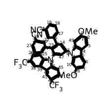 COc1ccc2c3ccc(OC)cc3n(-c3cc(-c4cccc(C#N)c4)c(-c4cccc(C#N)c4)c(-n4c5ccc(C(F)(F)F)cc5c5cc(C(F)(F)F)ccc54)c3)c2c1